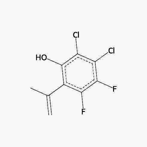 C=C(C)c1c(O)c(Cl)c(Cl)c(F)c1F